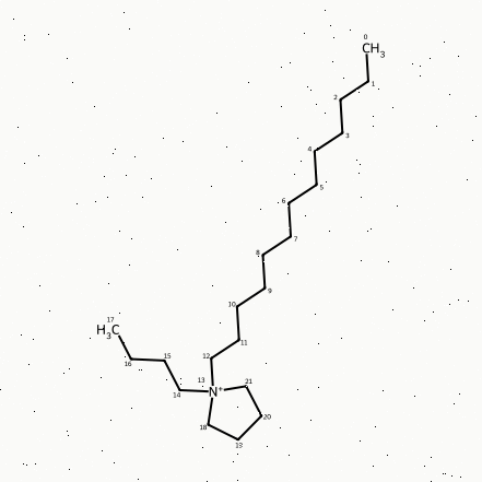 CCCCCCCCCCCCC[N+]1(CCCC)CCCC1